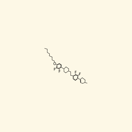 CCCCCCCCOc1ccc(C2CCC(CCc3ccc(C4=CCC(C)CC4)c(F)c3F)CC2)c(F)c1F